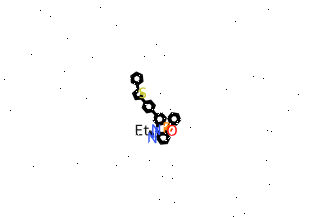 CCc1nc2cccc3c2n1-c1cc(-c2ccc(-c4ccc(-c5ccccc5)s4)cc2)ccc1P3(=O)c1ccccc1